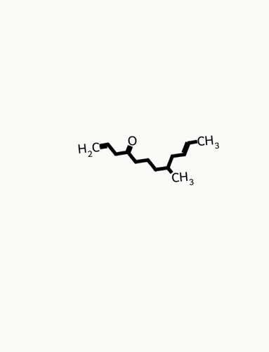 C=CCC(=O)CCCC(C)CC=CC